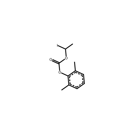 Cc1cccc(C)c1OC(=O)OC(C)I